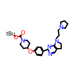 CC(C)(C)OC(=O)N1CCC(Oc2ccc(-c3ncc4c(n3)N(CCCN3CCCC3)CC4)cc2)CC1